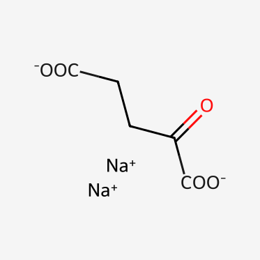 O=C([O-])CCC(=O)[14C](=O)[O-].[Na+].[Na+]